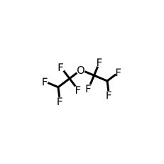 FC(F)C(F)(F)OC(F)(F)C(F)F